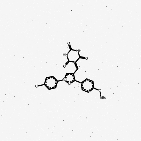 CCCCOc1ccc(-c2nn(-c3ccc(Cl)cc3)cc2C=C2C(=O)NC(=O)NC2=O)cc1